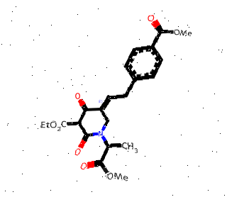 CCOC(=O)C1C(=O)/C(=C/Cc2ccc(C(=O)OC)cc2)CN(C(C)C(=O)OC)C1=O